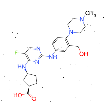 CN1CCN(c2ccc(Nc3ncc(F)c(N[C@H]4CC[C@@H](C(=O)O)C4)n3)cc2CO)CC1